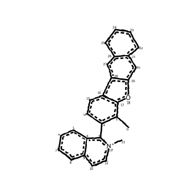 Cc1c(-c2c3ccccc3cc[n+]2C)ccc2c1oc1cc3ccccc3cc12